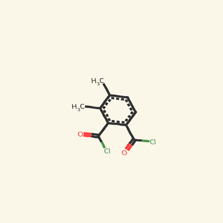 Cc1ccc(C(=O)Cl)c(C(=O)Cl)c1C